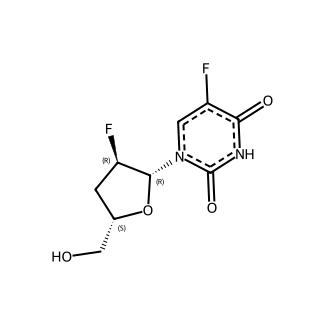 O=c1[nH]c(=O)n([C@@H]2O[C@H](CO)C[C@H]2F)cc1F